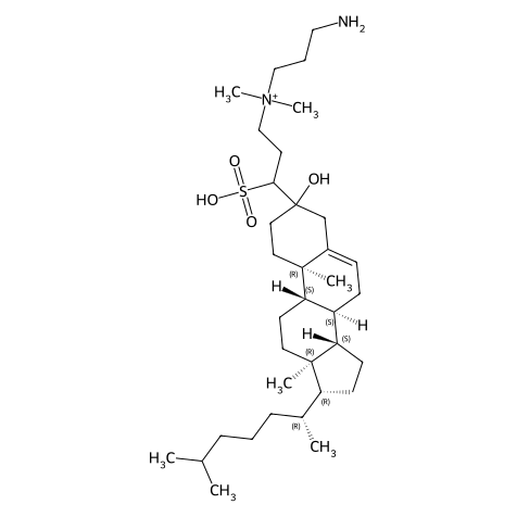 CC(C)CCC[C@@H](C)[C@H]1CC[C@H]2[C@@H]3CC=C4CC(O)(C(CC[N+](C)(C)CCCN)S(=O)(=O)O)CC[C@]4(C)[C@H]3CC[C@]12C